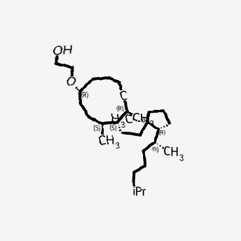 CC(C)CCC[C@@H](C)[C@H]1CCC[C@]1(C)CC[C@H]1[C@H](C)CCCC[C@@H](OCCO)CC[C@@H]1C